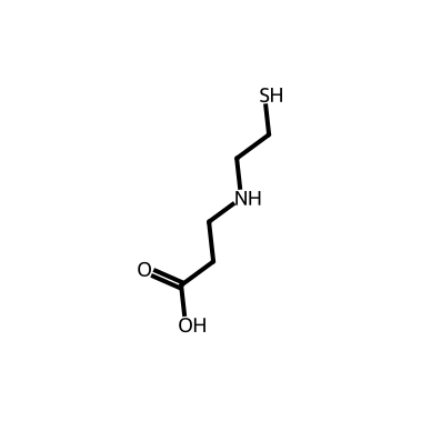 O=C(O)CCNCCS